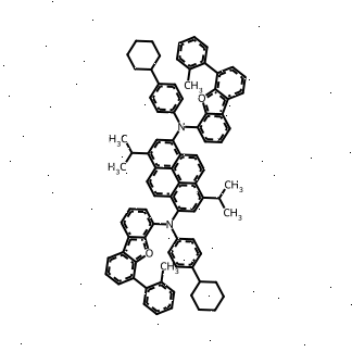 Cc1ccccc1-c1cccc2c1oc1c(N(c3ccc(C4CCCCC4)cc3)c3cc(C(C)C)c4ccc5c(N(c6ccc(C7CCCCC7)cc6)c6cccc7c6oc6c(-c8ccccc8C)cccc67)cc(C(C)C)c6ccc3c4c65)cccc12